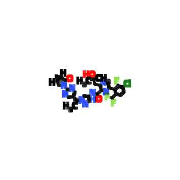 C[C@@H](c1cnc(N2C[C@H]3C[C@H]3C2=O)nc1)n1cc(NC(=O)c2nc(-c3c(C(F)F)ccc(Cl)c3F)cnc2CC(C)(C)O)cn1